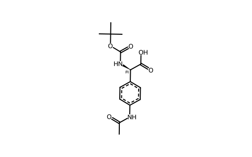 CC(=O)Nc1ccc([C@@H](NC(=O)OC(C)(C)C)C(=O)O)cc1